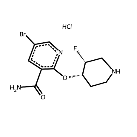 Cl.NC(=O)c1cc(Br)cnc1O[C@H]1CCNC[C@H]1F